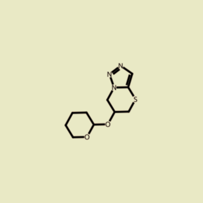 c1nnn2c1SCC(OC1CCCCO1)C2